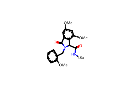 COc1cc(OC)c2c(c1)C(=O)N(Cc1ccccc1OC)C2C(=O)NC(C)(C)C